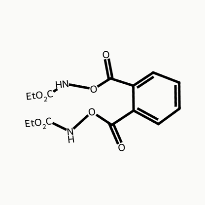 CCOC(=O)NOC(=O)c1ccccc1C(=O)ONC(=O)OCC